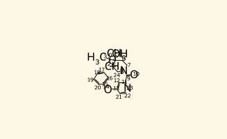 CC(C)(C)C1(O)CCN(C(=O)c2cc(Oc3ccccc3)ccn2)CC1